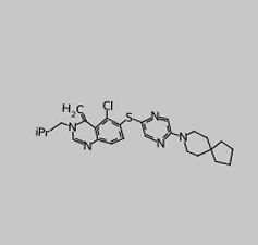 C=C1c2c(ccc(Sc3cnc(N4CCC5(CCCC5)CC4)cn3)c2Cl)N=CN1CC(C)C